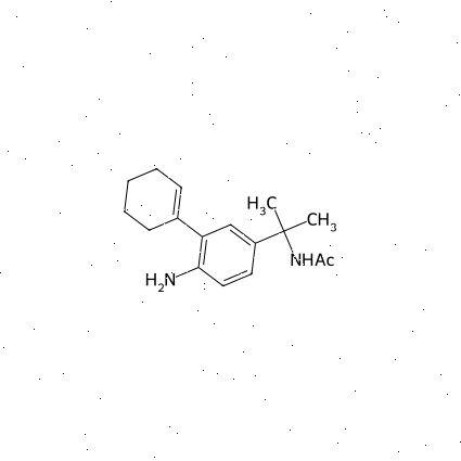 CC(=O)NC(C)(C)c1ccc(N)c(C2=CCCCC2)c1